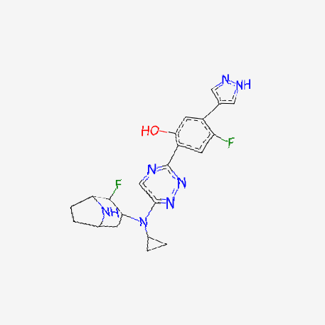 Oc1cc(-c2cn[nH]c2)c(F)cc1-c1ncc(N(C2CC2)C2CC3CCC(N3)C2F)nn1